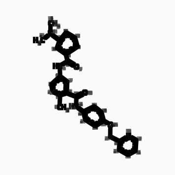 Cc1ncc(NC(=O)c2cccc(N(C)C)c2)cc1C(=O)Nc1ccc(OCc2ccccn2)cc1